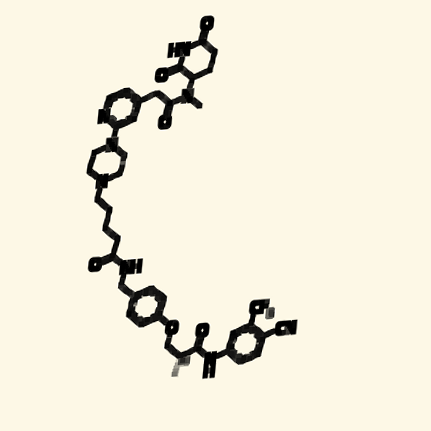 C[C@H](COc1ccc(CNC(=O)CCCCN2CCN(c3cc(CC(=O)N(C)C4CCC(=O)NC4=O)ccn3)CC2)cc1)C(=O)Nc1ccc(C#N)c(C(F)(F)F)c1